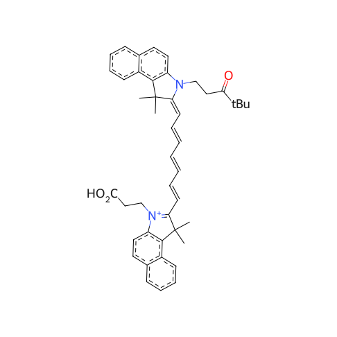 CC(C)(C)C(=O)CCN1/C(=C/C=C/C=C/C=C/C2=[N+](CCC(=O)O)c3ccc4ccccc4c3C2(C)C)C(C)(C)c2c1ccc1ccccc21